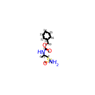 CC(C[S+](N)[O-])NC(=O)OCc1ccccc1